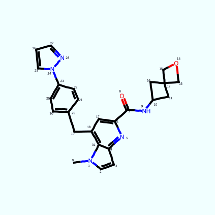 Cn1ccc2nc(C(=O)NC3CC4(COC4)C3)cc(Cc3ccc(-n4cccn4)cc3)c21